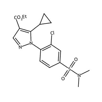 CCOC(=O)c1cnn(-c2ccc(S(=O)(=O)N(C)C)cc2Cl)c1C1CC1